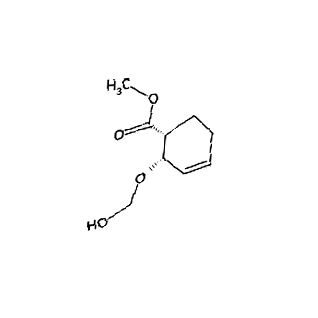 COC(=O)[C@@H]1CCC=C[C@@H]1OCO